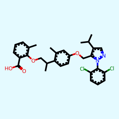 Cc1cc(OCc2c(C(C)C)cnn2-c2c(Cl)cccc2Cl)ccc1C(C)COc1c(C)cccc1C(=O)O